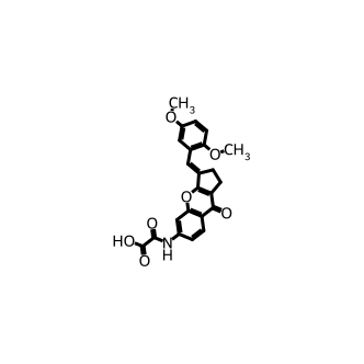 COc1ccc(OC)c(C=C2CCc3c2oc2cc(NC(=O)C(=O)O)ccc2c3=O)c1